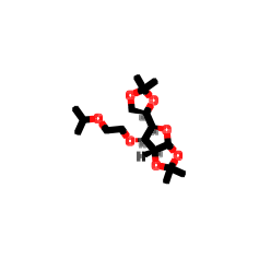 CC(C)OCCO[C@@H]1[C@@H]([C@H]2COC(C)(C)O2)OC2OC(C)(C)O[C@@H]21